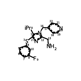 CC(C)c1c(Sc2cccc(F)c2)nc(CN)n1Cc1ccncc1